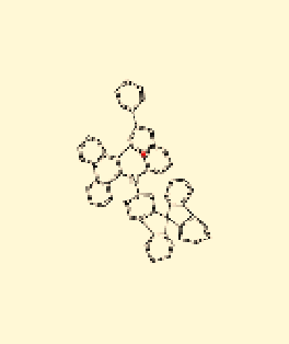 c1ccc(-c2cccc(-c3c(N(c4ccccc4)c4ccc5c(c4)C4(c6ccccc6-c6ccccc64)c4ccccc4-5)c4ccccc4c4ccccc34)c2)cc1